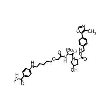 Cc1ncoc1-c1ccc(CNC(=O)[C@@H]2C[C@@H](O)CN2C(=O)[C@@H](NC(=O)COCCCCCNc2ccc(C(=O)NI)cc2)C(C)(C)C)cc1